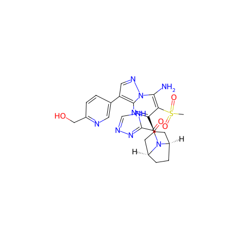 CS(=O)(=O)c1c([C@H]2C[C@H]3CC[C@@H](C2)N3C(=O)c2nnc[nH]2)nc2c(-c3ccc(CO)nc3)cnn2c1N